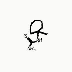 CC1(NC(N)=S)CCCCC1